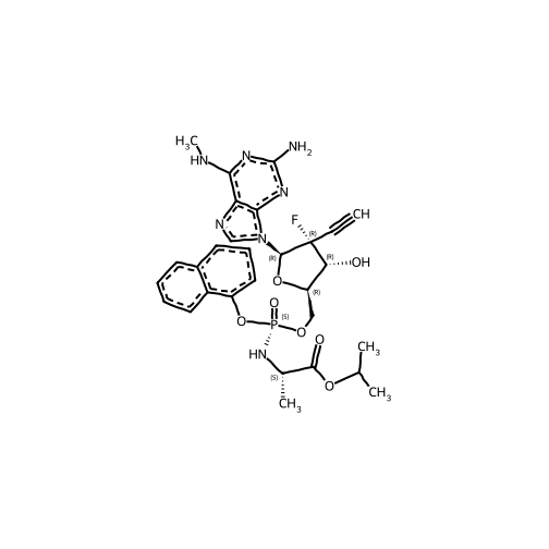 C#C[C@@]1(F)[C@H](O)[C@@H](CO[P@@](=O)(N[C@@H](C)C(=O)OC(C)C)Oc2cccc3ccccc23)O[C@H]1n1cnc2c(NC)nc(N)nc21